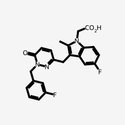 Cc1c(Cc2ccc(=O)n(Cc3cccc(F)c3)n2)c2cc(F)ccc2n1CC(=O)O